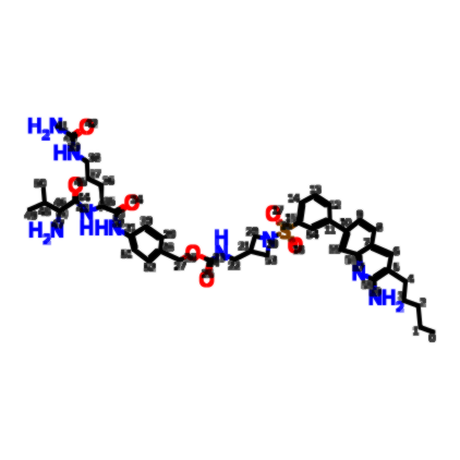 CCCCCc1cc2ccc(-c3cccc(S(=O)(=O)N4CC(CNC(=O)OCc5ccc(NC(=O)[C@H](CCCNC(N)=O)NC(=O)[C@@H](N)C(C)C)cc5)C4)c3)cc2nc1N